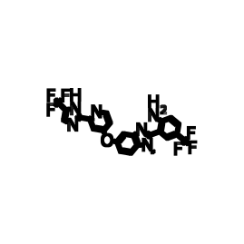 Cn1c(-c2cc(C(F)(F)F)ccc2N)nc2cc(Oc3ccnc(-c4ncc(C(F)(F)F)[nH]4)c3)ccc21